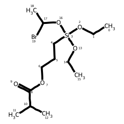 CCO[Si](CCCOC(=O)C(C)C)(OCC)OC(C)Br